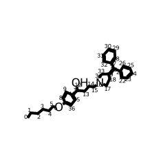 CCCCCCOc1ccc(C(O)CCCN2CCC(=C(c3ccccc3)c3ccccc3)CC2)cc1